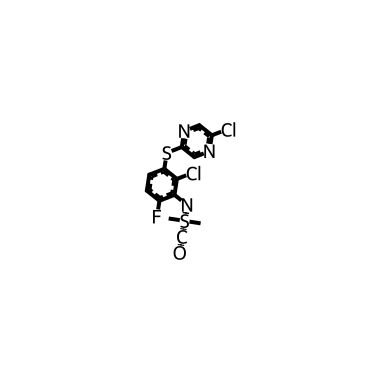 CS(C)(=C=O)=Nc1c(F)ccc(Sc2cnc(Cl)cn2)c1Cl